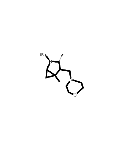 C[C@@H]1C(CN2CCOCC2)C2(C)CC2N1C(C)(C)C